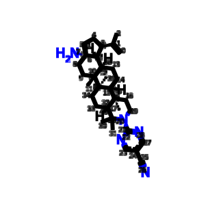 C=C(C)[C@@H]1CC[C@]2(N)CC[C@]3(C)[C@H](CC[C@@H]4[C@@]5(C)CCN(c6ncc(C#N)cn6)C(C)(C)[C@@H]5CC[C@]43C)[C@@H]12